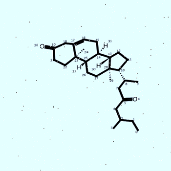 CCC(C)CC(=O)CC(C)[C@H]1CC[C@H]2[C@@H]3CC=C4CC(=O)CC[C@]4(C)[C@H]3CC[C@]12C